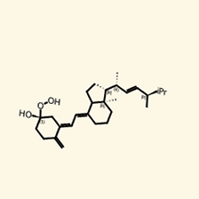 C=C1CC[C@](O)(OO)CC1=CC=C1CCC[C@@]2(C)C1CC[C@@H]2[C@H](C)C=C[C@H](C)C(C)C